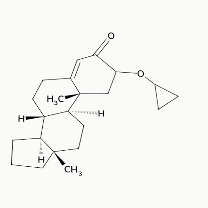 C[C@@]12CCC[C@H]1[C@@H]1CCC3=CC(=O)C(OC4CC4)C[C@]3(C)[C@H]1CC2